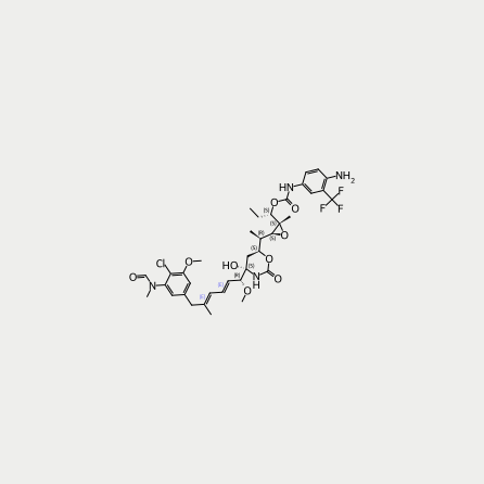 CC[C@H](OC(=O)Nc1ccc(N)c(C(F)(F)F)c1)[C@]1(C)O[C@H]1[C@H](C)[C@@H]1C[C@](O)([C@@H](/C=C/C=C(\C)Cc2cc(OC)c(Cl)c(N(C)C=O)c2)OC)NC(=O)O1